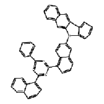 c1ccc(-c2nc(-c3cccc4ccccc34)nc(-c3cccc4cc(-n5c6ccccc6c6cc7ccccc7cc65)ccc34)n2)cc1